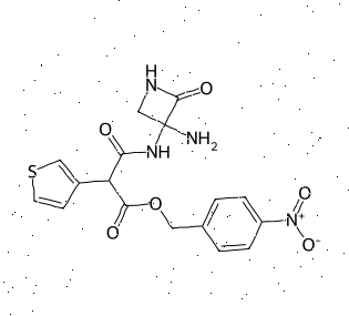 NC1(NC(=O)C(C(=O)OCc2ccc([N+](=O)[O-])cc2)c2ccsc2)CNC1=O